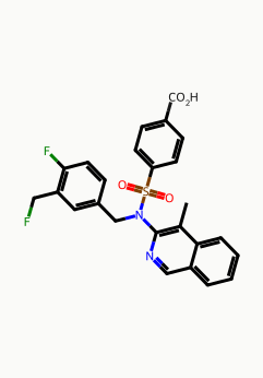 Cc1c(N(Cc2ccc(F)c(CF)c2)S(=O)(=O)c2ccc(C(=O)O)cc2)ncc2ccccc12